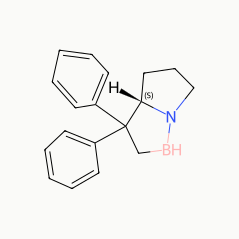 B1CC(c2ccccc2)(c2ccccc2)[C@@H]2CCCN12